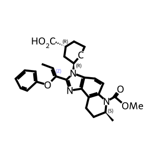 C/C=C(\Oc1ccccc1)c1nc2c3c(ccc2n1[C@@H]1CCC[C@@H](C(=O)O)C1)N(C(=O)OC)[C@@H](C)CC3